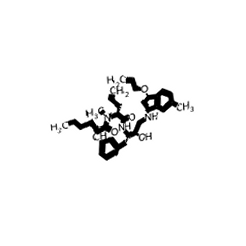 C=CCO[C@H]1C[C@@H](NC[C@@H](O)[C@H](Cc2ccccc2)NC(=O)[C@H](CC=C)N(C)C(=O)[C@@H](C)CCCC)c2cc(C)ccc21